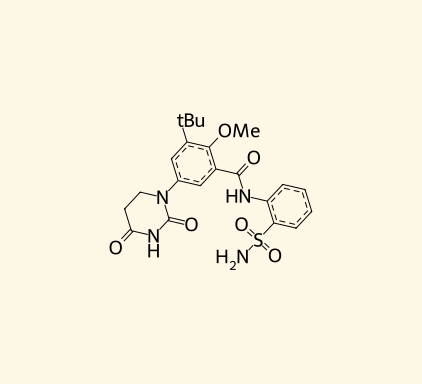 COc1c(C(=O)Nc2ccccc2S(N)(=O)=O)cc(N2CCC(=O)NC2=O)cc1C(C)(C)C